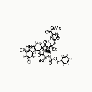 CCC(C)[C@H](NC(=O)OCc1ccccc1)C(=O)N[C@@]1(C(=O)N[C@@](C)(CC)Cc2nc(C(=O)OC)no2)CCc2[nH]c3c(Cl)cc(Cl)cc3c2C1